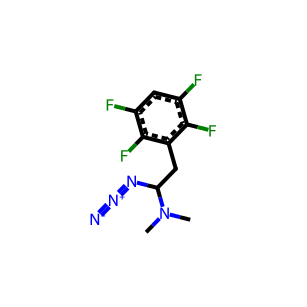 CN(C)C(Cc1c(F)c(F)cc(F)c1F)N=[N+]=[N-]